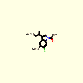 CCCC(=O)n1cc(C(C)CNC(C)=O)c2cc(OC)c(Cl)cc21